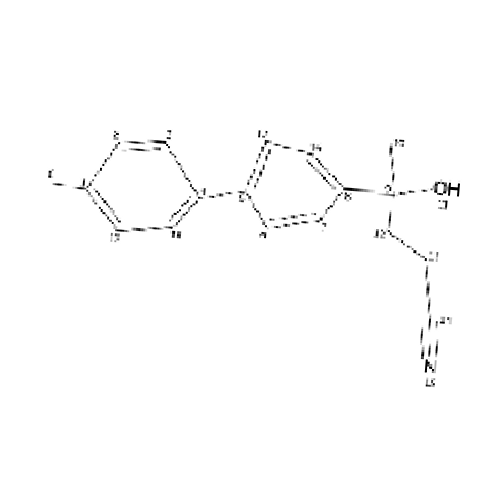 Cc1ccc(-c2ccc(C(C)(O)CCC#N)cc2)cc1